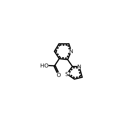 O=C(O)c1cccnc1-c1nccs1